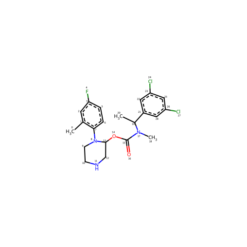 Cc1cc(F)ccc1N1CCNCC1OC(=O)N(C)C(C)c1cc(Cl)cc(Cl)c1